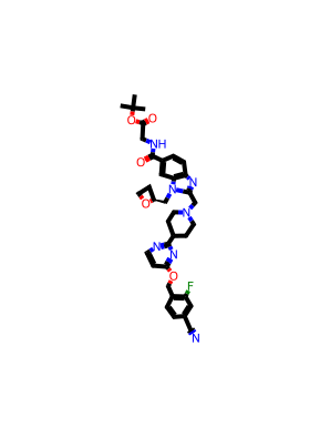 CC(C)(C)OC(=O)CNC(=O)c1ccc2nc(CN3CCC(c4nccc(OCc5ccc(C#N)cc5F)n4)CC3)n(C[C@@H]3CCO3)c2c1